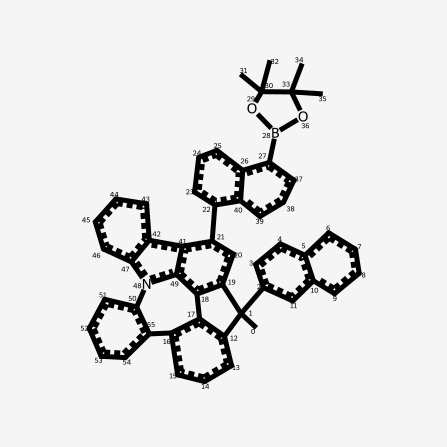 CC1(c2ccc3ccccc3c2)c2cccc3c2-c2c1cc(-c1cccc4c(B5OC(C)(C)C(C)(C)O5)cccc14)c1c4ccccc4n(c21)-c1ccccc1-3